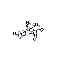 C=C/N=C(\C=C/N)NC(=O)[C@H](CC)N(CC)C(=O)[C@H](CC1CCC1)CN(O)C=O